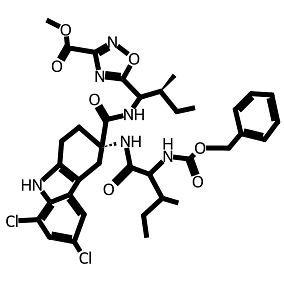 CCC(C)C(NC(=O)OCc1ccccc1)C(=O)N[C@@]1(C(=O)NC(c2nc(C(=O)OC)no2)[C@@H](C)CC)CCc2[nH]c3c(Cl)cc(Cl)cc3c2C1